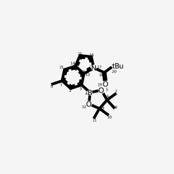 Cc1cc(B2OC(C)(C)C(C)(C)O2)c2c(ccn2C(=O)C(C)(C)C)c1